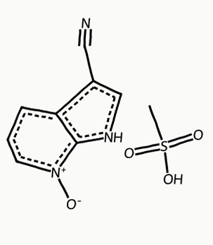 CS(=O)(=O)O.N#Cc1c[nH]c2c1ccc[n+]2[O-]